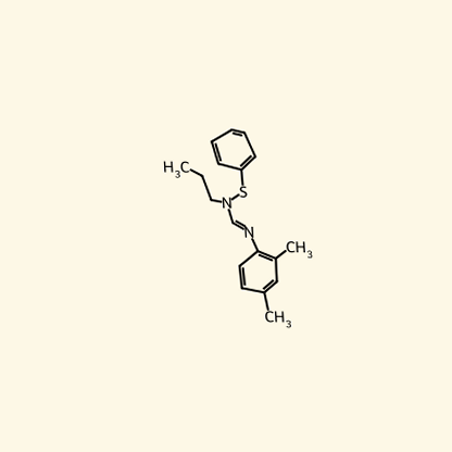 CCCN(C=Nc1ccc(C)cc1C)Sc1ccccc1